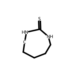 S=C1NCCCCCN1